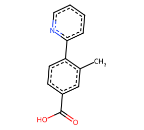 Cc1cc(C(=O)O)ccc1-c1ccccn1